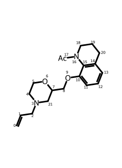 C=CCN1CCOC(COc2cccc3c2N(C(C)=O)CCC3)C1